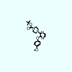 COc1ccc(Oc2nccnc2N2CCN(C(=O)OC(C)(C)C)CC2)cc1